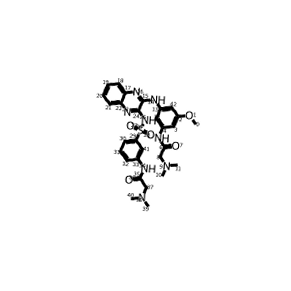 COc1cc(NC(=O)CN(C)C)cc(Nc2nc3ccccc3nc2NS(=O)(=O)c2cccc(NC(=O)CN(C)C)c2)c1